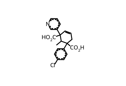 CC1C(C(=O)O)(c2cccnc2)C=CCC1(C(=O)O)c1ccc(Cl)cc1